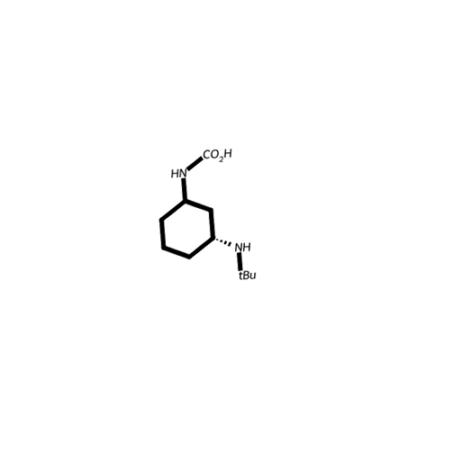 CC(C)(C)N[C@@H]1CCCC(NC(=O)O)C1